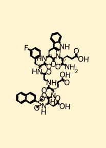 NC(=O)[C@H](CCC(=O)O)NC(=O)[C@H](Cc1c[nH]c2ccccc12)NC(=O)[C@H](Cc1cccc(F)c1)NC(=O)CNC(=O)[C@H](CCC(=O)O)NC(=O)[C@@H](CC(=O)O)NS(=O)(=O)c1ccc2ccccc2c1